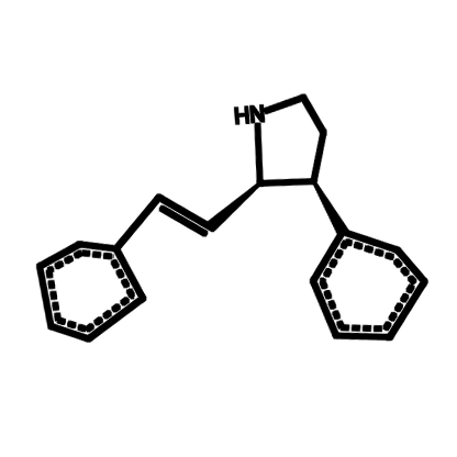 C(=C[C@H]1NCC[C@H]1c1ccccc1)c1ccccc1